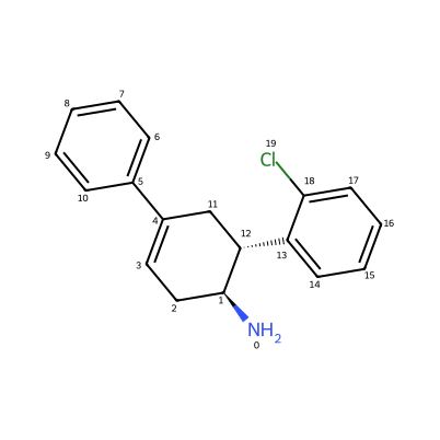 N[C@H]1CC=C(c2ccccc2)C[C@@H]1c1ccccc1Cl